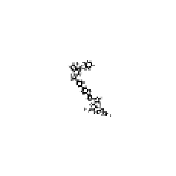 COC(=O)N[C@H](C(=O)N1CCC[C@H]1c1ncc(-c2ccc(-c3ccc(-c4cnc([C@@H]5C6CCC(C6)C5C(=O)NCc5cccnc5C)[nH]4)cc3)cc2)[nH]1)C(C)C